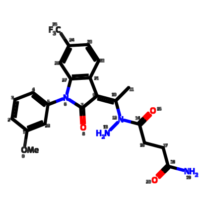 COc1cccc(N2C(=O)/C(=C(/C)N(N)C(=O)CCC(N)=O)c3ccc(C(F)(F)F)cc32)c1